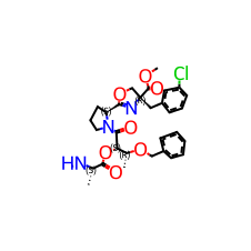 CN[C@@H](C)C(=O)O[C@H](C(=O)N1CCC[C@H]1C1=N[C@@](Cc2cccc(Cl)c2)(C(=O)OC)CO1)[C@@H](C)OCc1ccccc1